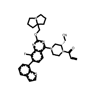 C=CC(=O)N1CCN(c2nc(OCC34CCCN3CCC4)nc3c(F)c(-c4cccc5ccsc45)ccc23)C[C@@H]1CC#N